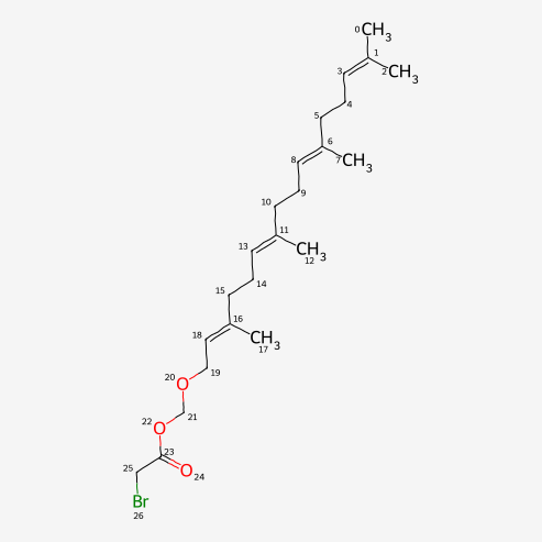 CC(C)=CCC/C(C)=C/CC/C(C)=C/CC/C(C)=C/COCOC(=O)CBr